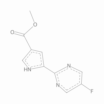 COC(=O)c1c[nH]c(-c2ncc(F)cn2)c1